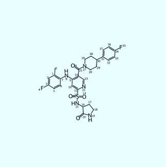 Cc1cc(F)ccc1Nc1cc(S(=O)(=O)NC2CCNC2=O)ncc1C(=O)N1CCC(c2ccc(F)cc2)CC1